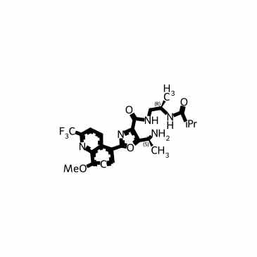 COc1ccc(-c2nc(C(=O)NC[C@@H](C)NC(=O)C(C)C)c([C@H](C)N)o2)c2ccc(C(F)(F)F)nc12